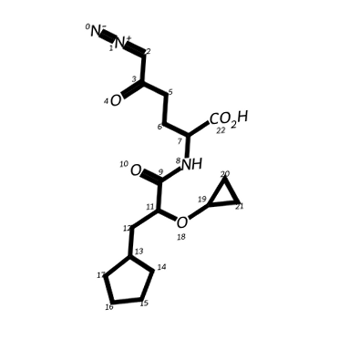 [N-]=[N+]=CC(=O)CCC(NC(=O)C(CC1CCCC1)OC1CC1)C(=O)O